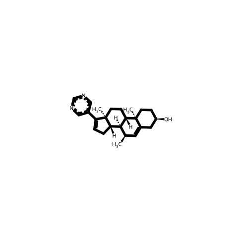 C[C@@H]1C=C2C[C@H](O)CC[C@]2(C)[C@H]2CC[C@]3(C)C(c4cncnc4)=CC[C@H]3[C@H]12